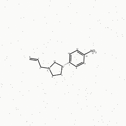 C=CCN1CC[C@@H](c2ccc([N+](=O)[O-])cc2)C1